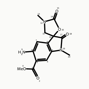 COC(=O)c1cc2c(cc1N)C1(CN(C)C(=O)O1)C(=O)N2C